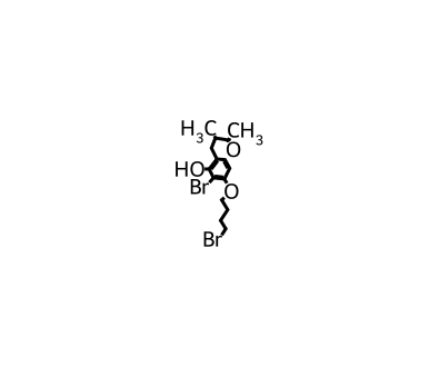 CC(=O)C(C)Cc1ccc(OCCCCBr)c(Br)c1O